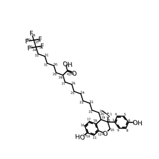 CSC1(c2ccc(O)cc2)COc2cc(O)ccc2C1CCCCCCCCC(CCCCCC(F)(F)C(F)(F)F)C(=O)O